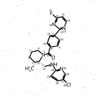 C[C@@H]1CCCN(C(=O)c2ccc(-c3nccc(F)n3)cc2)[C@@H]1CNc1ccc(Cl)cn1